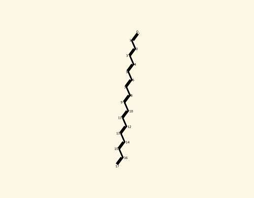 [CH]=C/C=C/C=C/C=C/C=C/C=C/C=C/C=C/C=C